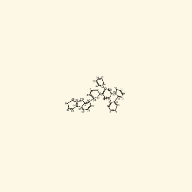 C1=CC(c2nc3c4ccccc4c4ccccc4c3nc2-c2ccccc2)CC(c2cccc3c4c(oc23)CCC=C4)=C1